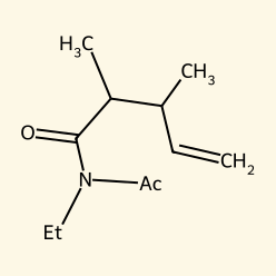 C=CC(C)C(C)C(=O)N(CC)C(C)=O